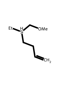 C=CCC[SiH](CC)COC